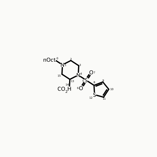 CCCCCCCCN1CCN(S(=O)(=O)c2cccs2)C(C(=O)O)C1